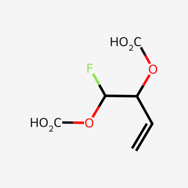 C=CC(OC(=O)O)C(F)OC(=O)O